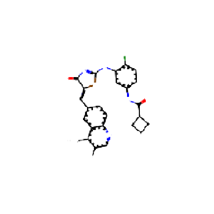 CCOC(=O)c1cnc2ccc(/C=C3\SC(Nc4cc(NC(=O)C5CCC5)ccc4Cl)=NC3=O)cc2c1NC